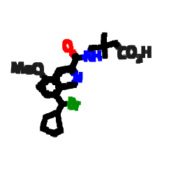 COc1ccc(C(Br)C2CCCC2)c2cnc(C(=O)NCC(C)(C)CC(=O)O)cc12